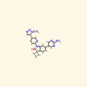 Cn1nccc1-c1ccc(NC(=O)C2(c3ccc(-c4cnc(N)nc4)cc3)CCC2)nc1